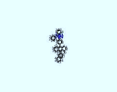 CC1C=CC=C2C(c3ccc(-c4nc5ccccc5n4-c4ccccc4)cc3)=c3ccccc3=C(c3ccc4c(c3)CCC=C4)C21